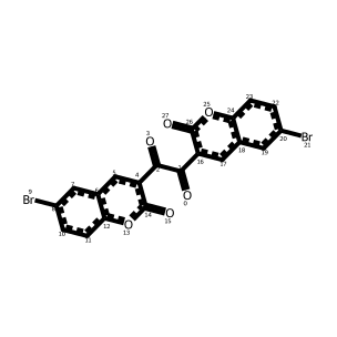 O=C(C(=O)c1cc2cc(Br)ccc2oc1=O)c1cc2cc(Br)ccc2oc1=O